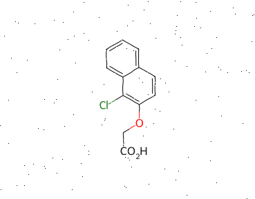 O=C(O)COc1ccc2ccccc2c1Cl